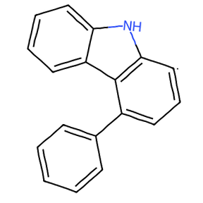 [c]1ccc(-c2ccccc2)c2c1[nH]c1ccccc12